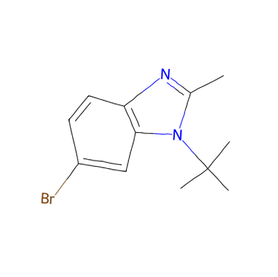 Cc1nc2ccc(Br)cc2n1C(C)(C)C